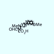 CNC(CN(CC=O)C(=O)O)C1CCN(c2cc3cc(OC)ccc3cn2)CC1